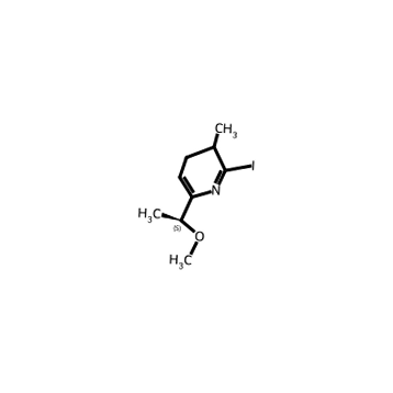 CO[C@@H](C)C1=CCC(C)C(I)=N1